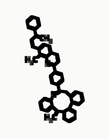 C=C(/C=C\c1ccc2ccc(-c3ccc(/C4=N/c5ccccc5C(=C)c5ccccc5-c5ccccc5C4)cc3)nc2c1C)c1ccccc1